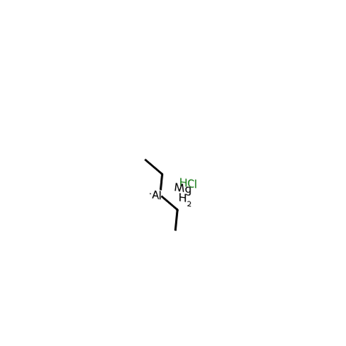 C[CH2][Al][CH2]C.Cl.[MgH2]